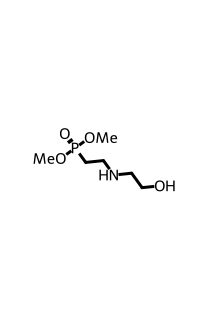 COP(=O)(CCNCCO)OC